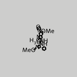 COCCN1C[C@@H](NC(=O)Nc2cc3cc(OC)c(N4CCOCC4)cc3nc2C)[C@H](c2ccccc2)C1